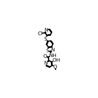 COc1ccnc(C(=O)Nc2nc3ccc(Sc4cccnc4Cl)cc3s2)c1O